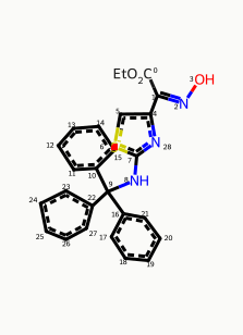 CCOC(=O)C(=NO)c1csc(NC(c2ccccc2)(c2ccccc2)c2ccccc2)n1